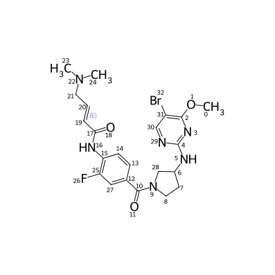 COc1nc(NC2CCN(C(=O)c3ccc(NC(=O)/C=C/CN(C)C)c(F)c3)C2)ncc1Br